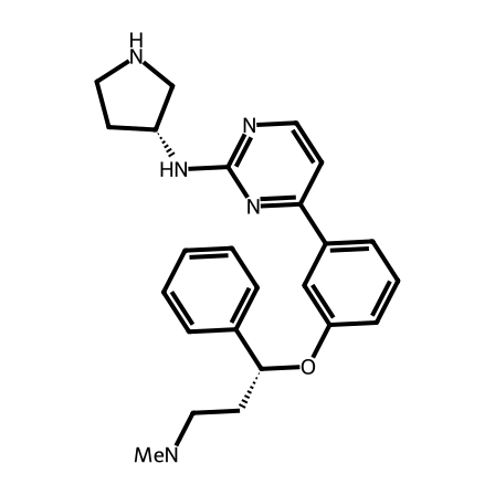 CNCC[C@@H](Oc1cccc(-c2ccnc(N[C@@H]3CCNC3)n2)c1)c1ccccc1